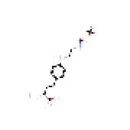 CC(CCc1ccc(NCCNC(=O)OC(C)(C)C)cc1)C(=O)O